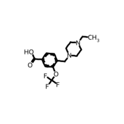 CCN1CCN(Cc2ccc(C(=O)O)cc2OC(F)(F)F)CC1